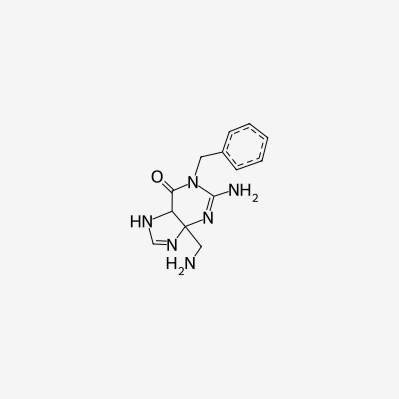 NCC12N=CNC1C(=O)N(Cc1ccccc1)C(N)=N2